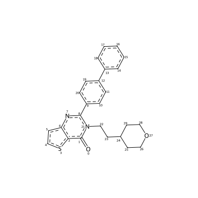 O=c1c2sccc2nc(-c2ccc(-c3ccccc3)cc2)n1CCC1CCOCC1